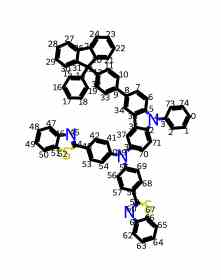 c1ccc(-n2c3ccc(-c4ccc(C5(c6ccccc6)c6ccccc6-c6ccccc65)cc4)cc3c3cc(N(c4ccc(-c5nc6ccccc6s5)cc4)c4ccc(-c5nc6ccccc6s5)cc4)ccc32)cc1